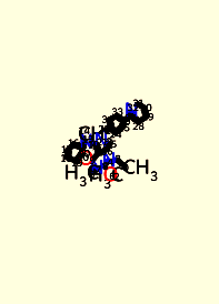 CC(C)Cn1c(=O)n(C)c(=O)c2c(N(C)c3ccccc3)n(Cc3ccc(-c4ccccn4)cc3)cc21